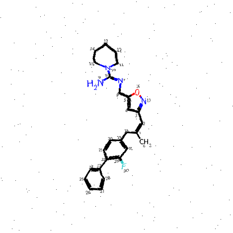 CC(=Cc1cc(CN=C(N)N2CCCCC2)on1)Cc1ccc(-c2ccccc2)c(F)c1